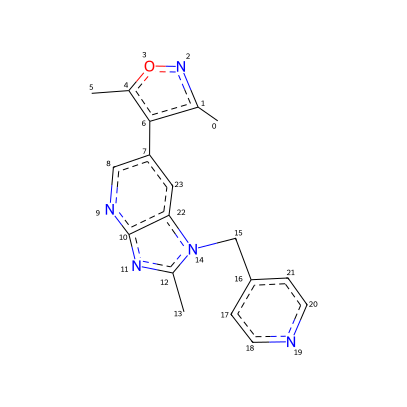 Cc1noc(C)c1-c1cnc2nc(C)n(Cc3ccncc3)c2c1